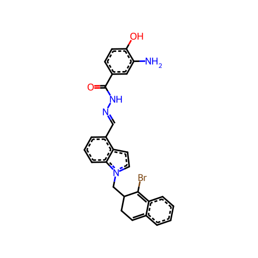 Nc1cc(C(=O)N/N=C/c2cccc3c2ccn3CC2CC=c3ccccc3=C2Br)ccc1O